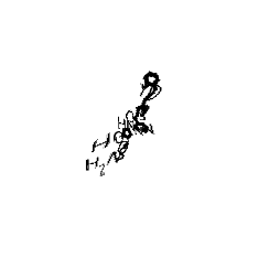 NSOC[C@H]1C[C@@H](Nc2ncncc2C(=O)c2cc(COc3ccccc3I)cs2)C[C@@H]1O